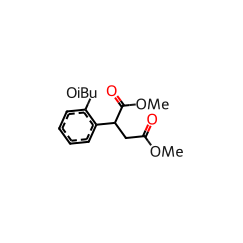 COC(=O)CC(C(=O)OC)c1ccccc1OCC(C)C